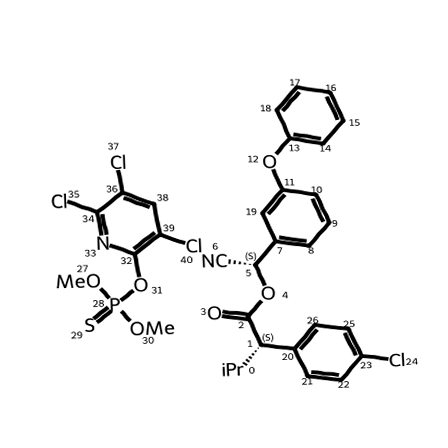 CC(C)[C@H](C(=O)O[C@H](C#N)c1cccc(Oc2ccccc2)c1)c1ccc(Cl)cc1.COP(=S)(OC)Oc1nc(Cl)c(Cl)cc1Cl